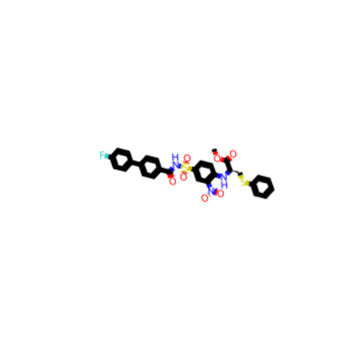 COC(=O)[C@H](CSc1ccccc1)Nc1ccc(S(=O)(=O)NC(=O)c2ccc(-c3ccc(F)cc3)cc2)cc1[N+](=O)[O-]